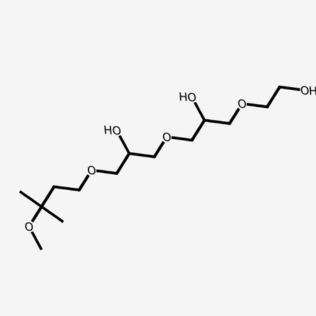 COC(C)(C)CCOCC(O)COCC(O)COCCO